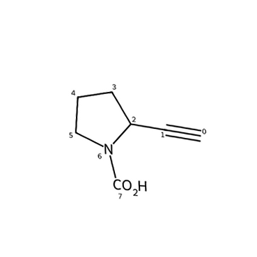 C#CC1CCCN1C(=O)O